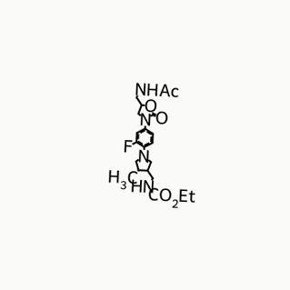 CCOC(=O)NCC1CN(c2ccc(N3CC(CNC(C)=O)OC3=O)cc2F)CC1C